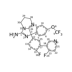 NC1=NC(c2ccc(OC(F)(F)F)cc2)(c2ccc(F)c(-c3cnccc3F)c2)C2=NCCCN12